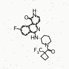 O=C(N1CCC[C@@H](Nc2nc3cc[nH]c(=O)c3c3cc(F)ccc23)C1)C1(C(F)(F)F)CCC1